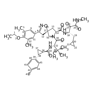 CCOc1c(C)cc(C2=NO[C@]3(C2)C[C@@H](C(=O)N[C@@H](CC2CC2)C(=O)C(=O)NC)N(C(=O)[C@@H](NC(=O)[C@@H]2C[C@H]2c2ccc(F)cc2)C(C)(C)C)C3)cc1C